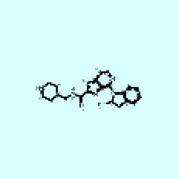 CC1Cc2ccccc2N1c1ncnc2sc(C(=O)NCC3CCNCC3)nc12